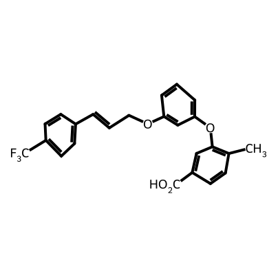 Cc1ccc(C(=O)O)cc1Oc1cccc(OCC=Cc2ccc(C(F)(F)F)cc2)c1